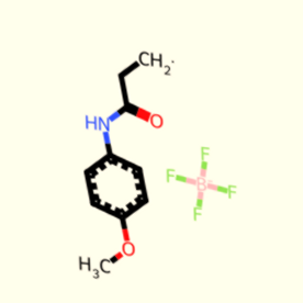 F[B-](F)(F)F.[CH2]CC(=O)Nc1ccc(OC)cc1